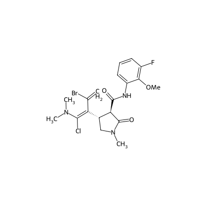 C=C(Br)/C(=C(/Cl)N(C)C)[C@H]1CN(C)C(=O)[C@@H]1C(=O)Nc1cccc(F)c1OC